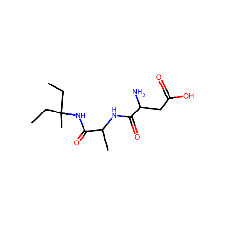 CCC(C)(CC)NC(=O)C(C)NC(=O)C(N)CC(=O)O